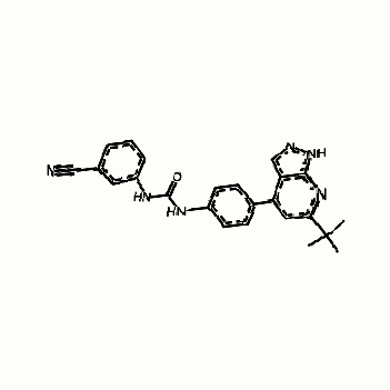 CC(C)(C)c1cc(-c2ccc(NC(=O)Nc3cccc(C#N)c3)cc2)c2cn[nH]c2n1